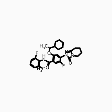 Cc1cccc(F)c1NC(=O)c1cc(F)c(-n2nc3n(c2=O)CCCC3)cc1O[C@@H](C)C1CCCCC1